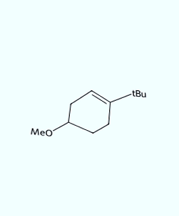 COC1CC=C(C(C)(C)C)CC1